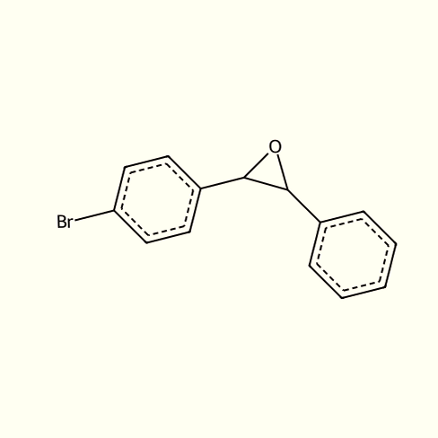 Brc1ccc(C2OC2c2ccccc2)cc1